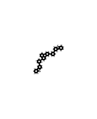 c1cc(-c2ccc3c(c2)-c2ccc(-c4cccc(-c5ccc6sc7ccccc7c6c5)c4)c4cccc-3c24)cc(-c2ccc3sc4ccccc4c3c2)c1